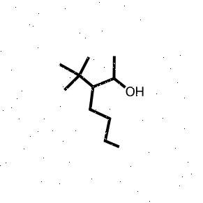 CCCCC(C(C)O)C(C)(C)C